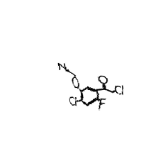 N#CCOc1cc(C(=O)CCl)c(F)cc1Cl